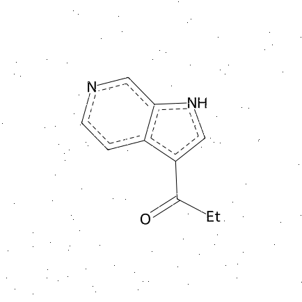 CCC(=O)c1c[nH]c2cnccc12